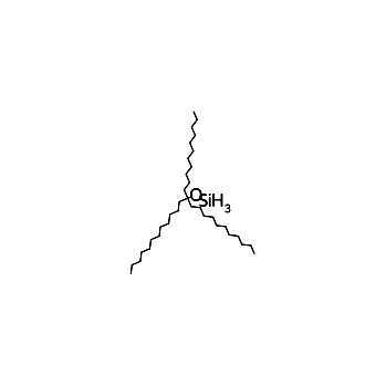 CCCCCCCCCCCCC(CCCCCCCCCCC)(CCCCCCCCCCC)O[SiH3]